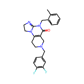 Cc1ccccc1CN1C(=O)C2=C(CCN(Cc3ccc(F)c(F)c3)C2)N2CCN=C12